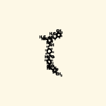 CNc1nc(NCc2cccc(C)c2C)nc(NC[C@H]2CC[C@H](C(=O)Nc3ccc(S(=O)(=O)Nc4nnc(C)s4)cc3)CC2)n1